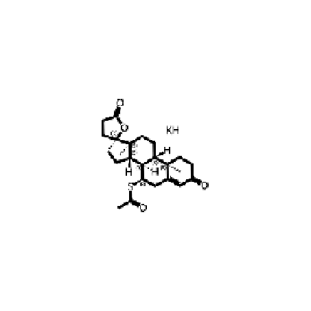 CC(=O)S[C@@H]1CC2=CC(=O)CC[C@]2(C)[C@H]2CC[C@@]3(C)[C@@H](CC[C@@]34CCC(=O)O4)[C@H]12.[KH]